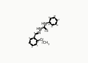 COc1ccccc1C=NNC(=S)Nc1ccccc1